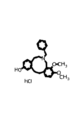 COc1ccc2c(c1OC)CN(Cc1ccccc1)CCc1ccc(O)cc1CC2.Cl